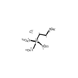 CCCCCCCCCCCC[P+](CCCCCCCC)(CCCCCCCC)CCCCCCCC.[Cl-]